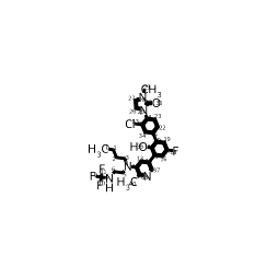 CCCCN(CCNC(F)(F)F)c1cc(-c2cc(F)cc(-c3ccc(-n4ccn(C)c4=O)c(Cl)c3)c2O)cnc1C